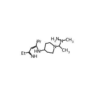 CCC(=N)/C=C(\NC1CCN(C(C)N(C)N)CC1)C(C)C